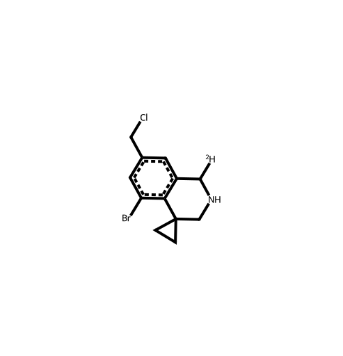 [2H]C1NCC2(CC2)c2c(Br)cc(CCl)cc21